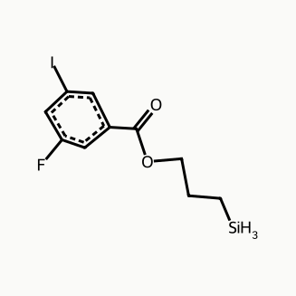 O=C(OCCC[SiH3])c1cc(F)cc(I)c1